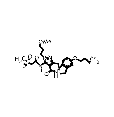 COCCCn1nc2c(c1NC(=O)CS(C)(=O)=O)C(=O)N[C@@]1(CCc3cc(OCCCC(F)(F)F)ccc31)C2